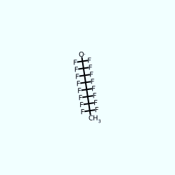 CC(F)(F)C(F)(F)C(F)(F)C(F)(F)C(F)(F)C(F)(F)C(F)(F)C([O])(F)F